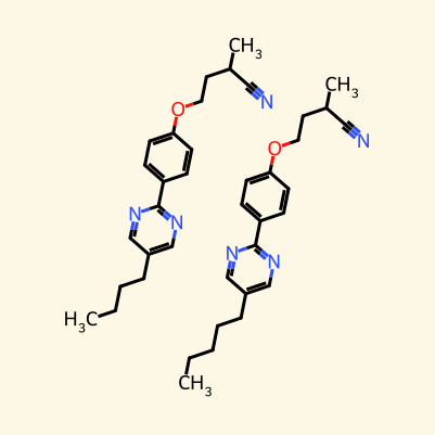 CCCCCc1cnc(-c2ccc(OCCC(C)C#N)cc2)nc1.CCCCc1cnc(-c2ccc(OCCC(C)C#N)cc2)nc1